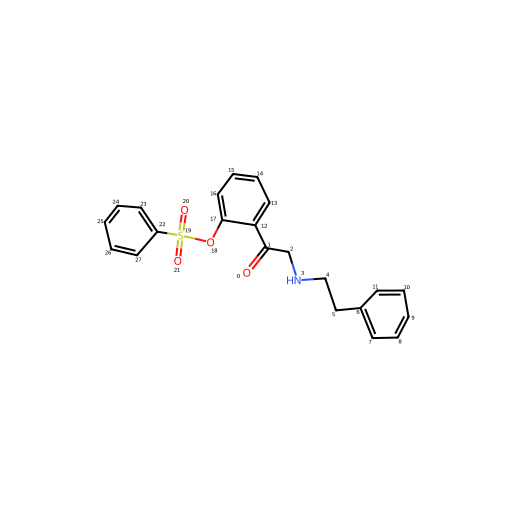 O=C(CNCCc1ccccc1)c1ccccc1OS(=O)(=O)c1ccccc1